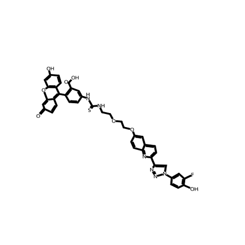 O=C(O)c1cc(NC(=S)NCCOCCOc2ccc3nc(-c4cn(-c5ccc(O)c(F)c5)nn4)ccc3c2)ccc1-c1c2ccc(=O)cc-2oc2cc(O)ccc12